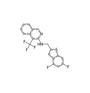 Fc1cc(F)c2cc(CNc3ncc4ccccc4c3C(F)(F)F)sc2c1